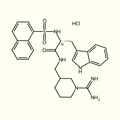 Cl.N=C(N)N1CCCC(CNC(=O)[C@@H](Cc2c[nH]c3ccccc23)NS(=O)(=O)c2cccc3ccccc23)C1